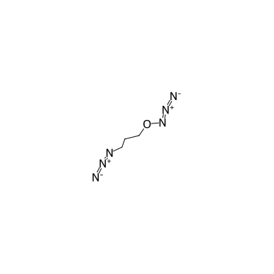 [N-]=[N+]=NCCCON=[N+]=[N-]